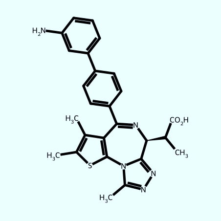 Cc1sc2c(c1C)C(c1ccc(-c3cccc(N)c3)cc1)=N[C@@H](C(C)C(=O)O)c1nnc(C)n1-2